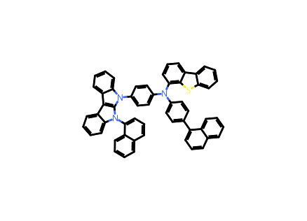 c1ccc2c(-c3ccc(N(c4ccc(-n5c6ccccc6c6c7ccccc7n(-c7cccc8ccccc78)c65)cc4)c4cccc5c4sc4ccccc45)cc3)cccc2c1